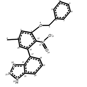 Cc1cc(OCc2ccccc2)c([N+](=O)[O-])c(-c2cccc3[nH]nnc23)c1